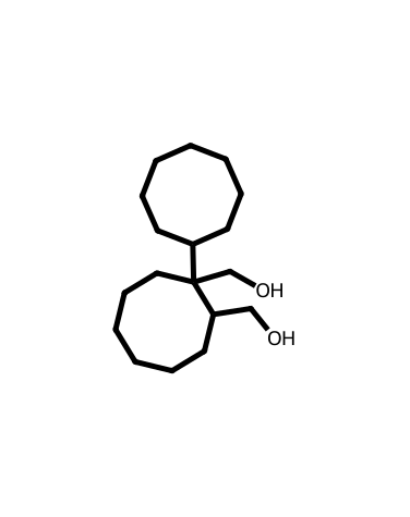 OCC1CCCCCCC1(CO)C1CCCCCCC1